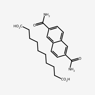 NC(=O)c1ccc2cc(C(N)=O)ccc2c1.O=C(O)CCCCCCCCC(=O)O